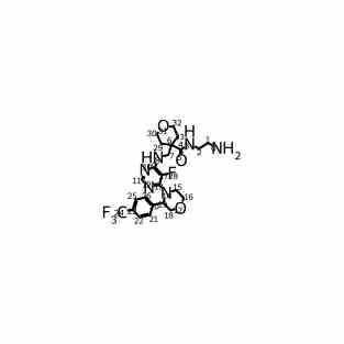 NCCNC(=O)C1(CNc2ncnc(N3CCOCC3c3ccc(C(F)(F)F)cc3)c2F)CCOCC1